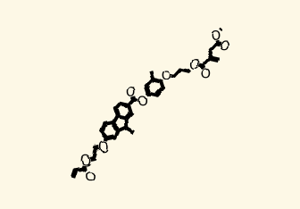 C=CC(=O)OCCOc1ccc2c(c1)C(C)c1cc(C(=O)Oc3ccc(OCCCOC(=O)C(=C)CC(=O)OC)c(C)c3)ccc1-2